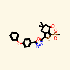 CC1(C)CC(=O)c2c(S(C)(=O)=O)sc(-c3nnc(-c4ccc(Oc5ccccc5)cc4)o3)c2C1